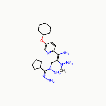 CN(N)/C(CN(N)/C(=N\N)C1CCCC1)=C(\N)c1ccc(OC2CCCCC2)cn1